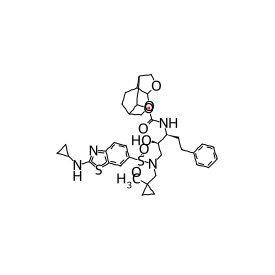 CC1(CN(C[C@@H](O)[C@H](CCc2ccccc2)NC(=O)OC2C3CCC4C(OC3)OCC42)S(=O)(=O)c2ccc3nc(NC4CC4)sc3c2)CC1